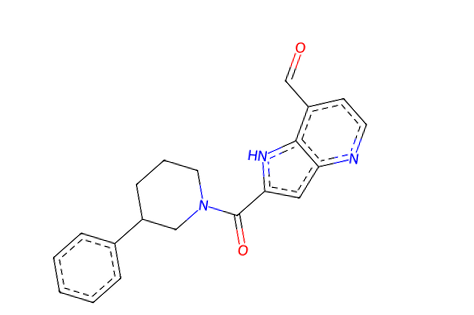 O=Cc1ccnc2cc(C(=O)N3CCCC(c4ccccc4)C3)[nH]c12